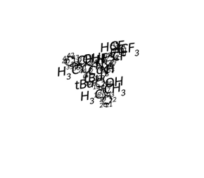 CC(C)(C)c1cc(C=[N+]2[Co][N+](=Cc3cc(C(C)(C)C)cc(C(C)(C)c4ccccc4)c3O)[C@@H]3CCCC[C@H]32)c(O)c(C(C)(C)c2ccccc2)c1.OC(F)(F)C(F)(C(F)(F)F)C(F)(F)F